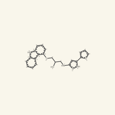 OC(CNc1cc(-c2ccco2)[nH]n1)COc1cccc2[nH]c3ccccc3c12